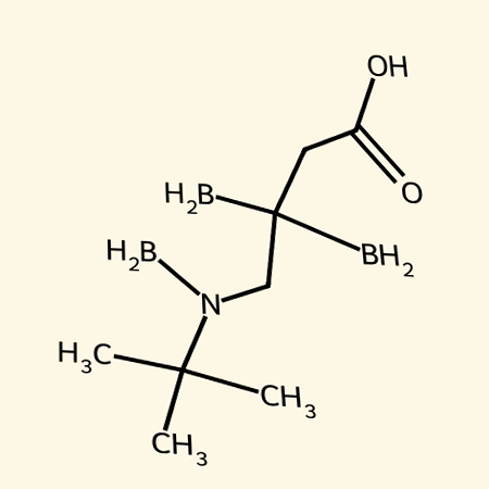 BN(CC(B)(B)CC(=O)O)C(C)(C)C